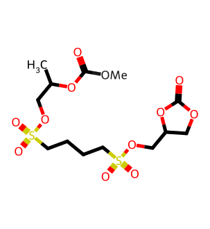 COC(=O)OC(C)COS(=O)(=O)CCCCS(=O)(=O)OCC1COC(=O)O1